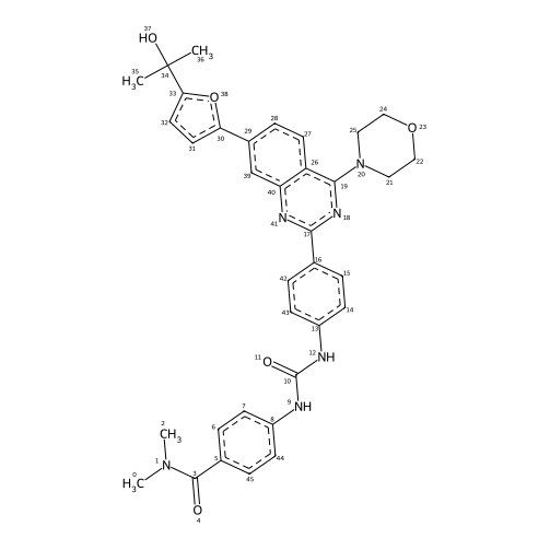 CN(C)C(=O)c1ccc(NC(=O)Nc2ccc(-c3nc(N4CCOCC4)c4ccc(-c5ccc(C(C)(C)O)o5)cc4n3)cc2)cc1